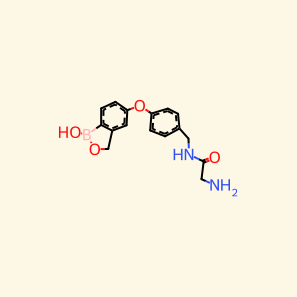 NCC(=O)NCc1ccc(Oc2ccc3c(c2)COB3O)cc1